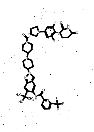 CC(C)(O)c1cc2nn(C3CCN(C4CCN(C(=O)[C@@H]5CCN(c6cc(F)c([C@H]7CCC(=O)NC7=O)c(F)c6)C5)CC4)CC3)cc2cc1NC(=O)c1cccc(C(F)(F)F)n1